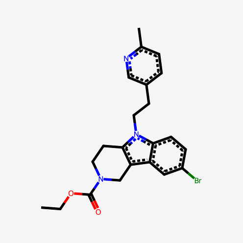 CCOC(=O)N1CCc2c(c3cc(Br)ccc3n2CCc2ccc(C)nc2)C1